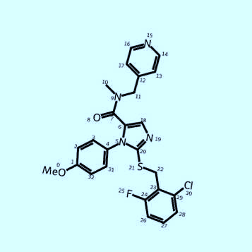 COc1ccc(-n2c(C(=O)N(C)Cc3ccncc3)cnc2SCc2c(F)cccc2Cl)cc1